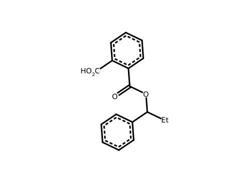 CCC(OC(=O)c1ccccc1C(=O)O)c1ccccc1